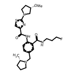 CO[C@H]1CCN(c2nc(C(=O)Nc3ccc(CN4CCC[C@@H]4C)cc3C(=O)NCCCF)cs2)C1